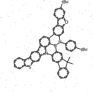 CC(C)(C)c1ccc(N2B3c4cc5c(cc4-n4c6cc7sc8ccccc8c7cc6c6ccc(c3c64)-c3cc4c(cc32)oc2cc(C(C)(C)C)ccc24)-c2ccccc2C5(C)C)cc1